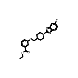 CCOC(=O)c1cccc(OCC2CCN(c3nc4ccc(Cl)cc4s3)CC2)c1